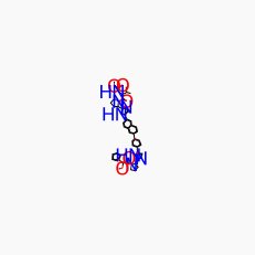 COC(=O)NC(C(=O)N1CCCC1c1ncc(-c2ccc3cc(-c4ccc(-c5cnc(C6CCCN6C(=O)C(OC)c6ccccc6)[nH]5)cc4)ccc3c2)[nH]1)C(C)C